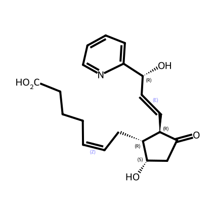 O=C(O)CCC/C=C\C[C@H]1[C@@H](O)CC(=O)[C@@H]1/C=C/[C@@H](O)c1ccccn1